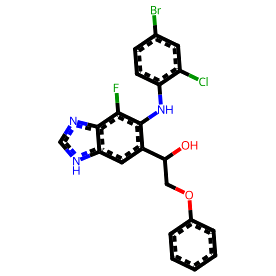 OC(COc1ccccc1)c1cc2[nH]cnc2c(F)c1Nc1ccc(Br)cc1Cl